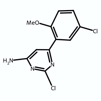 COc1ccc(Cl)cc1-c1cc(N)nc(Cl)n1